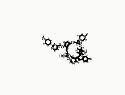 CO[C@H]1CC[C@H](c2nccc(COc3ccc4cc3C[C@H](C(=O)O)Oc3ncnc5sc(-c6ccc(F)cc6)c(c35)-c3c(C)c(Cl)c(c(Cl)c3C)O[C@H](CN3CCN(C)CC3)CO4)n2)CC1